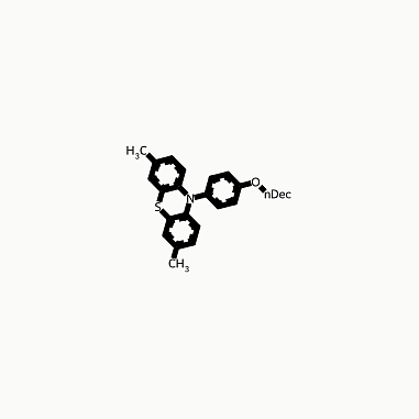 CCCCCCCCCCOc1ccc(N2c3ccc(C)cc3Sc3cc(C)ccc32)cc1